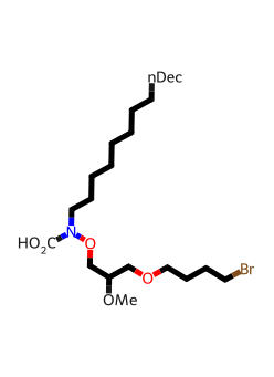 CCCCCCCCCCCCCCCCCCN(OCC(COCCCCBr)OC)C(=O)O